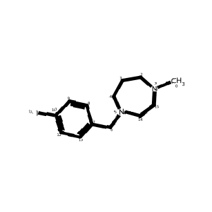 CN1CCCN(Cc2ccc(I)cc2)CC1